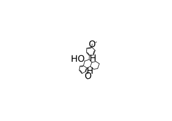 COc1ccc(C2C(O)c3cccc(OC)c3[C@@H]3CCCC[C@H]23)cc1